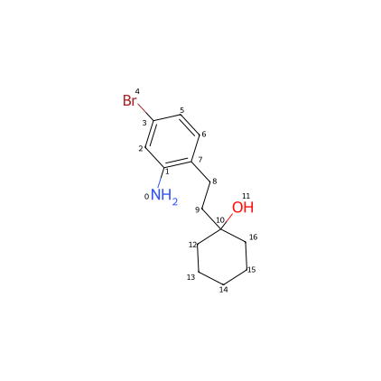 Nc1cc(Br)ccc1CCC1(O)CCCCC1